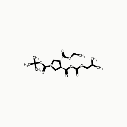 CCOC(=O)[C@H]1CN(C(=O)OC(C)(C)C)C[C@@H]1C(=O)OC(=O)OCC(C)C